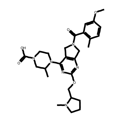 COc1ccc(C)c(C(=O)N2Cc3nc(OCC4CCCN4C)nc(N4CCN(C(=O)O)CC4C)c3C2)c1